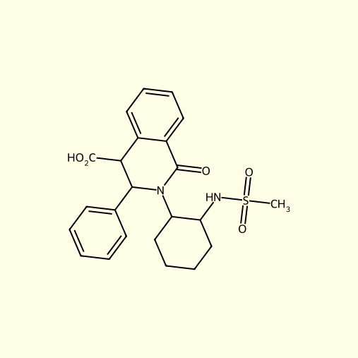 CS(=O)(=O)NC1CCCCC1N1C(=O)c2ccccc2C(C(=O)O)C1c1ccccc1